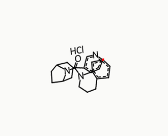 Cl.O=C(N1CCCc2ccccc21)N1C2CCC1CC(c1cccnc1)C2